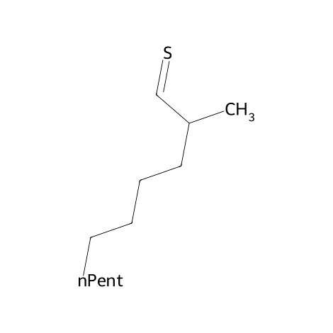 CCCCCCCCCC(C)C=S